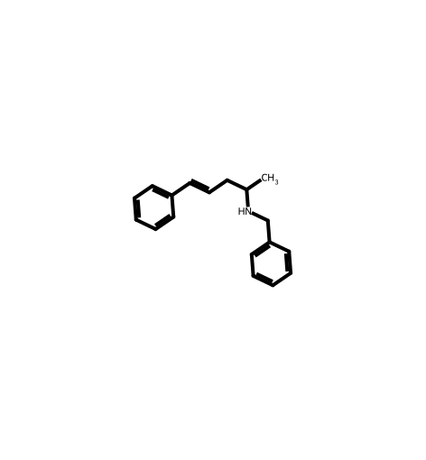 CC(C/C=C/c1ccccc1)NCc1ccccc1